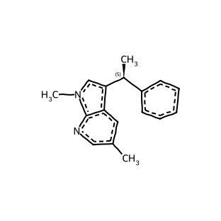 Cc1cnc2c(c1)c([C@@H](C)c1ccccc1)cn2C